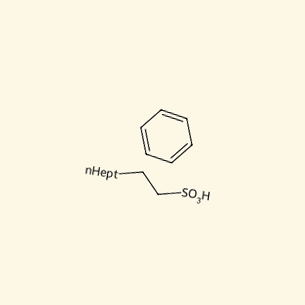 CCCCCCCCCS(=O)(=O)O.c1ccccc1